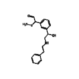 COC(C=O)c1cccc(C(O)CNCCc2ccccc2)c1